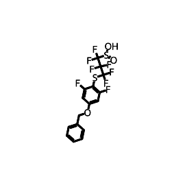 O=S(O)C(F)(F)C(F)(F)C(F)(F)Sc1c(F)cc(OCc2ccccc2)cc1F